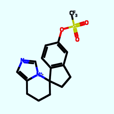 O=S(=O)(Oc1ccc2c(c1)CCC21CCCC2=CN=C[N+]21)C(F)(F)F